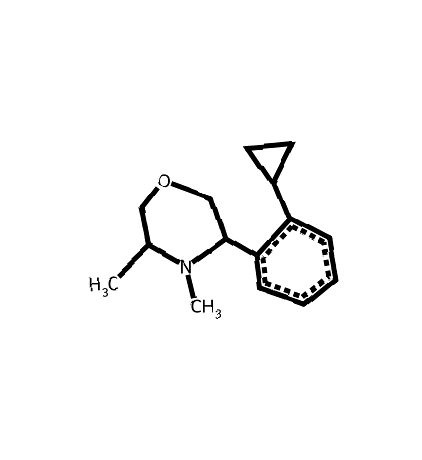 CC1COCC(c2ccccc2C2CC2)N1C